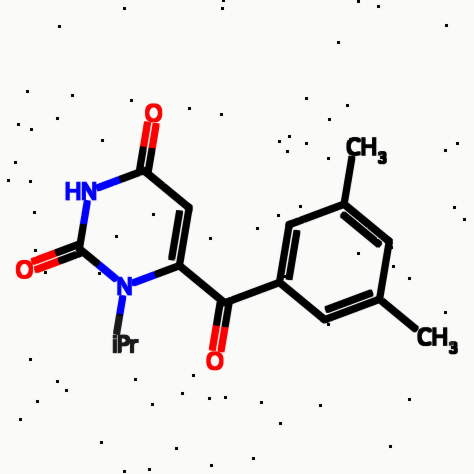 Cc1cc(C)cc(C(=O)c2cc(=O)[nH]c(=O)n2C(C)C)c1